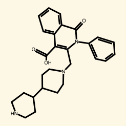 O=C(O)c1c(CN2CCC(C3CCNCC3)CC2)n(-c2ccccc2)c(=O)c2ccccc12